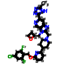 Fc1cc(Cl)cc(F)c1COc1cccc(C2CCN(Cc3nc4cc(-c5nnc(C(F)(F)F)[nH]5)ncc4n3C[C@@H]3CCO3)CC2)n1